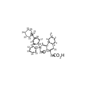 Cc1ccc2c(c1)C1=CC(c3ccccc3)(c3ccc([N+]4(C)CCCCC4)cc3)COC1C(CC(=O)O)=C2